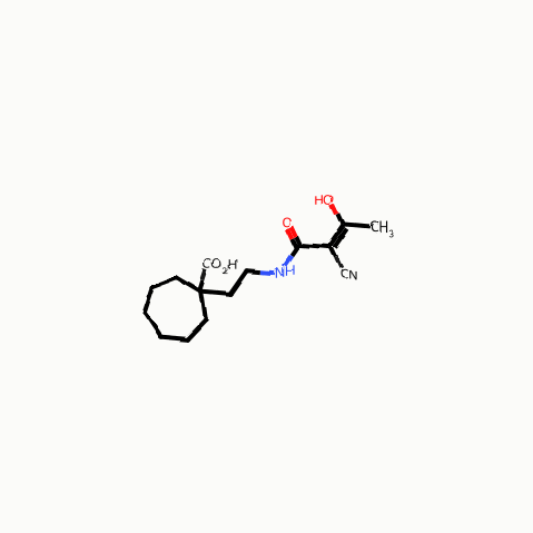 C/C(O)=C(\C#N)C(=O)NCCC1(C(=O)O)CCCCCC1